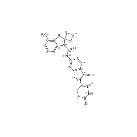 O=C1CCC(N2Cc3cc(NC(=O)N4c5cccc(C(F)(F)F)c5CC45COC5)ccc3C2=O)C(=O)N1